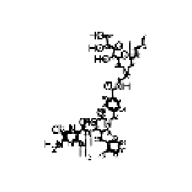 CCCCCCN(CCNC(=O)c1ccc(CN(CC(CNC(=O)c2nc(Cl)c(N)nc2N)Cc2ccccc2C)C(=O)O)cc1)C[C@@H](O)[C@@H](O)[C@H](O)[C@H](O)CO